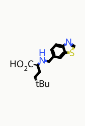 CC(C)(C)CC[C@H](NCc1ccc2ncsc2c1)C(=O)O